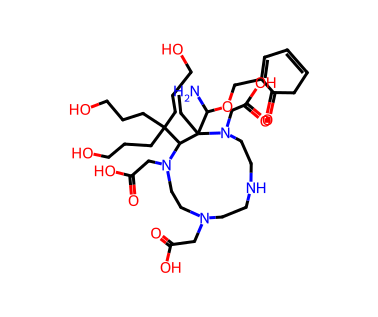 CCC1(C(N)OCC2=CC=CCC2=O)C(C(CCCO)(CCCO)CCCO)N(CC(=O)O)CCN(CC(=O)O)CCNCCN1CC(=O)O